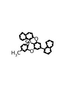 Cc1ccc2c(c1)Oc1cc(-c3cccc4ccccc34)cc3c1P2(=S)c1c(ccc2ccccc12)O3